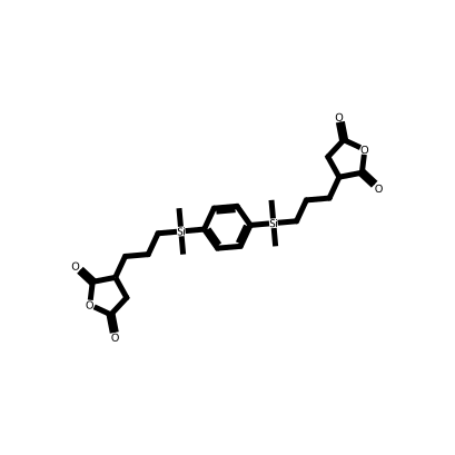 C[Si](C)(CCCC1CC(=O)OC1=O)c1ccc([Si](C)(C)CCCC2CC(=O)OC2=O)cc1